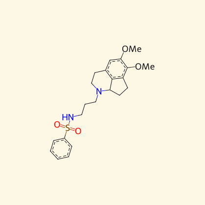 COc1cc2c3c(c1OC)CCC3N(CCCNS(=O)(=O)c1ccccc1)CC2